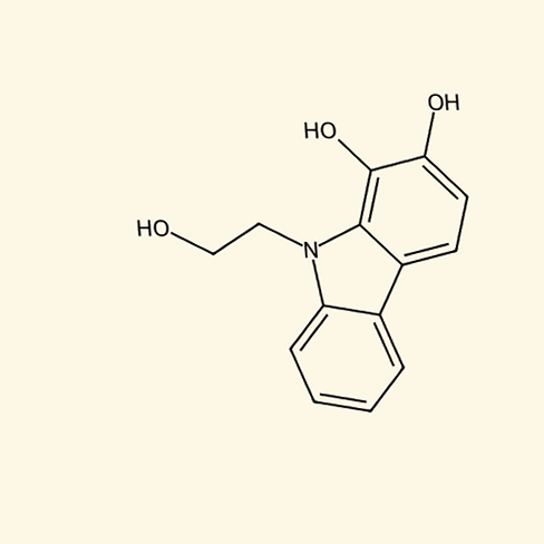 OCCn1c2ccccc2c2ccc(O)c(O)c21